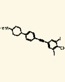 CCCCCC1CCC(c2ccc(C#Cc3cc(I)c(C)c(I)c3)cc2)CC1